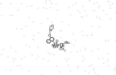 Cn1nc(C(C)(C)C)cc1NC(=O)C(=NO)c1ccc(OCCN2CCOCC2)c2ccccc12